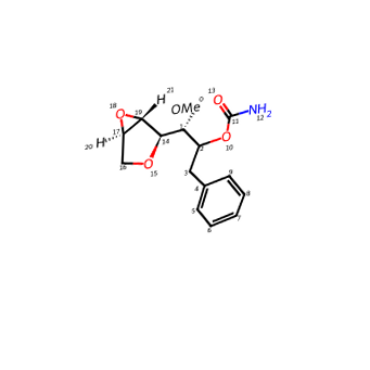 CO[C@H](C(Cc1ccccc1)OC(N)=O)[C@H]1OC[C@H]2O[C@H]12